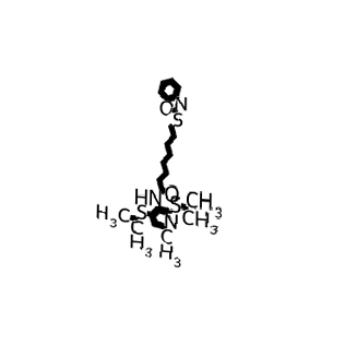 Cc1cc(SC(C)C)c(NC(=O)CCCCCCCSc2nc3ccccc3o2)c(SC(C)C)n1